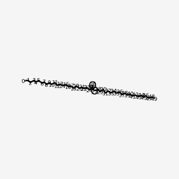 CCCCCCCCCCCCCCCCCCCCCCCCCC(=O)OCCCCCCCCCCCCCCCCCCCCCC